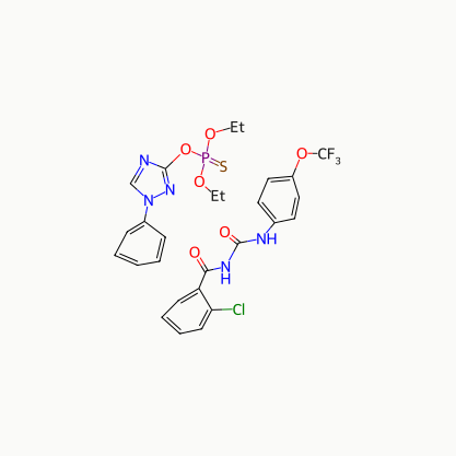 CCOP(=S)(OCC)Oc1ncn(-c2ccccc2)n1.O=C(NC(=O)c1ccccc1Cl)Nc1ccc(OC(F)(F)F)cc1